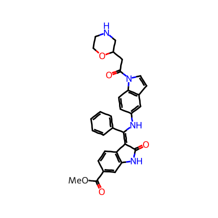 COC(=O)c1ccc2c(c1)NC(=O)/C2=C(\Nc1ccc2c(ccn2C(=O)CC2CNCCO2)c1)c1ccccc1